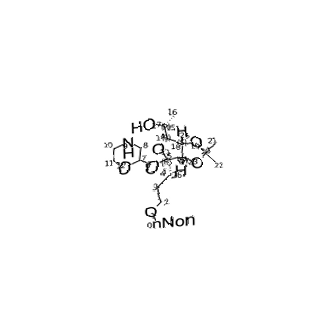 CCCCCCCCCOCCC[C@]1(OC2CNCCO2)O[C@H]([C@@H](C)O)[C@@H]2OC(C)(C)O[C@@H]21